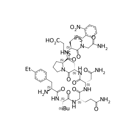 CCc1ccc(C[C@H](N)C(=O)N[C@H](C(=O)N[C@@H](CCC(N)=O)C(=O)N[C@@H](CC(N)=O)C(=O)N[C@@H](CCSCCC(=O)O)C(=O)N2CCC[C@H]2C(=O)N[C@@H](CC(C)C)C(=O)N(CC(N)=O)Sc2ccccc2[N+](=O)[O-])[C@@H](C)CC)cc1